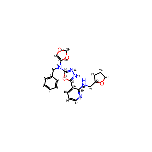 C1=C(N(Cc2ccccc2)c2nnc(-c3cccnc3NCC3CCCO3)o2)OCO1